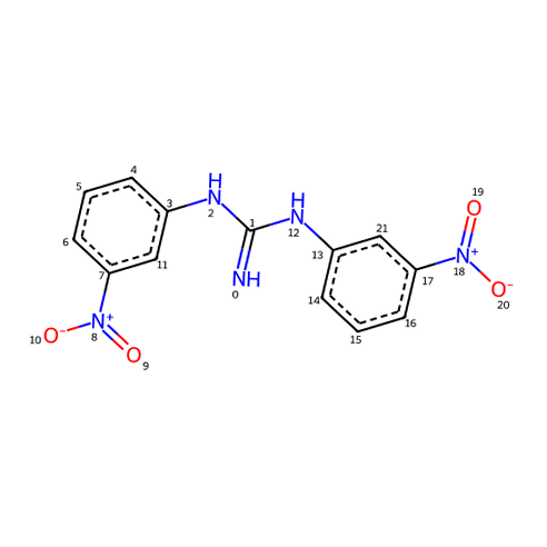 N=C(Nc1cccc([N+](=O)[O-])c1)Nc1cccc([N+](=O)[O-])c1